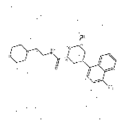 C[C@@H]1CN(c2ccc(C(F)(F)F)c3ncccc23)C[C@H](C(=O)NCCN2CCOCC2)O1